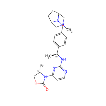 CC(C)[C@H]1COC(=O)N1c1ccnc(N[C@@H](C)c2ccc(CN3C4CCC3CN(C)C4)cc2)n1